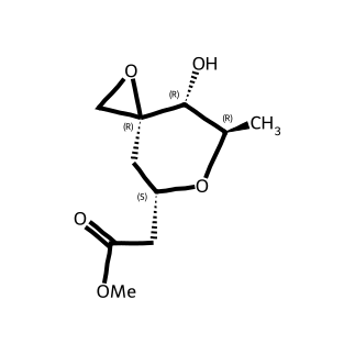 COC(=O)C[C@@H]1C[C@@]2(CO2)[C@H](O)[C@@H](C)O1